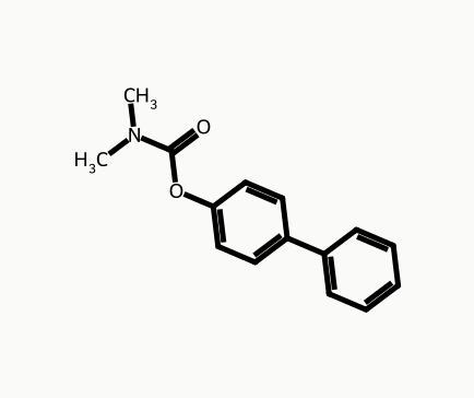 CN(C)C(=O)Oc1ccc(-c2ccccc2)cc1